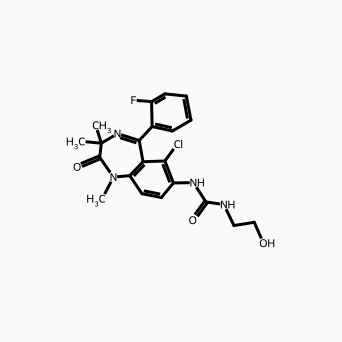 CN1C(=O)C(C)(C)N=C(c2ccccc2F)c2c1ccc(NC(=O)NCCO)c2Cl